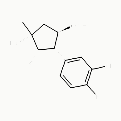 C[C@H]1[C@@H](c2ccc(F)c(Cl)c2)[C@H](C(=O)O)C[C@@]1(C)C(F)(F)F